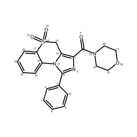 O=C(c1nc(-c2ccccc2)n2c1CS(=O)(=O)c1ccccc1-2)N1CCOCC1